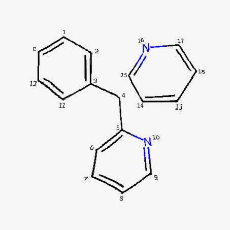 c1ccc(Cc2ccccn2)cc1.c1ccncc1